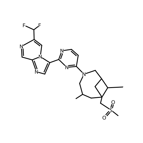 CC1CN(c2ccnc(-c3cnc4cnc(C(F)F)cn34)n2)CC2CC(CS(C)(=O)=O)(C1)C2C